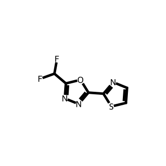 FC(F)c1nnc(-c2nccs2)o1